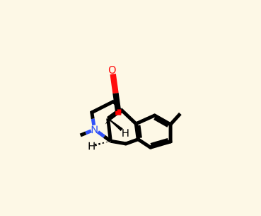 Cc1ccc2c(c1)[C@]13CCN(C)[C@H](C2)[C@@H]1CCC(=O)C3